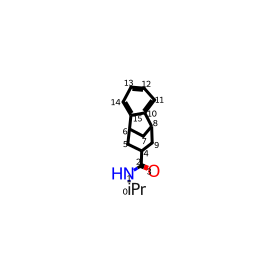 CC(C)NC(=O)C1CC2CC(C1)c1ccccc12